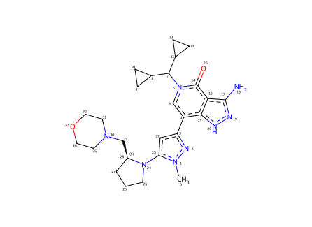 Cn1nc(-c2cn(C(C3CC3)C3CC3)c(=O)c3c(N)n[nH]c23)cc1N1CCC[C@H]1CN1CCOCC1